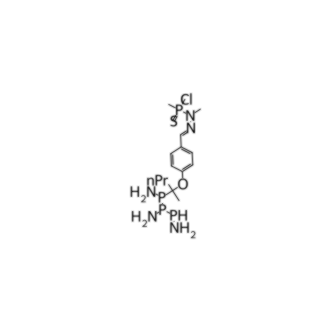 CCCC(C)(Oc1ccc(/C=N/N(C)P(C)(=S)Cl)cc1)P(N)P(N)PN